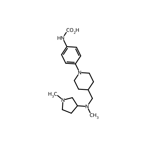 CN1CCC(N(C)CC2CCN(c3ccc(NC(=O)O)cc3)CC2)C1